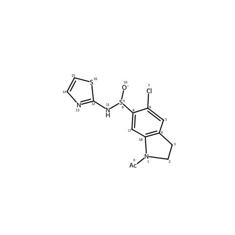 CC(=O)N1CCc2cc(Cl)c([S+]([O-])Nc3nccs3)cc21